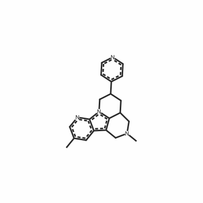 Cc1cnc2c(c1)c1c3n2CC(c2ccncc2)CC3CN(C)C1